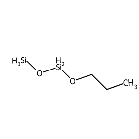 CCCO[SiH2]O[SiH3]